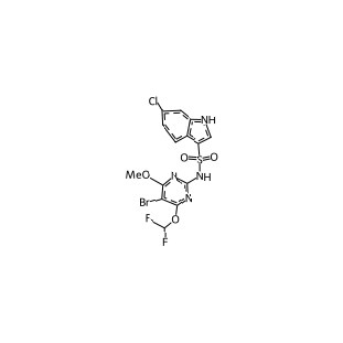 COc1nc(NS(=O)(=O)c2c[nH]c3cc(Cl)ccc23)nc(OC(F)F)c1Br